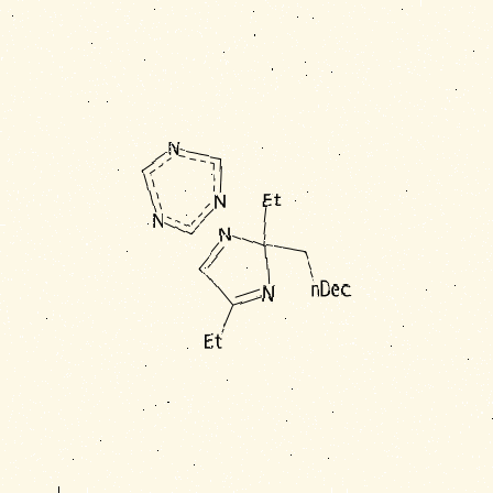 CCCCCCCCCCCC1(CC)N=CC(CC)=N1.c1ncncn1